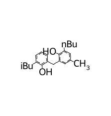 CCCCc1cc(C)cc(Cc2cccc(C(C)CC)c2O)c1O